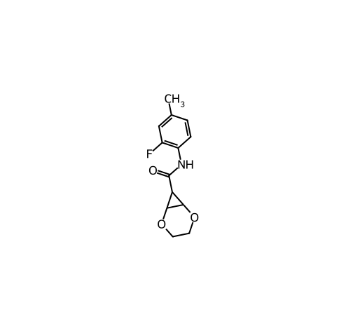 Cc1ccc(NC(=O)C2C3OCCOC32)c(F)c1